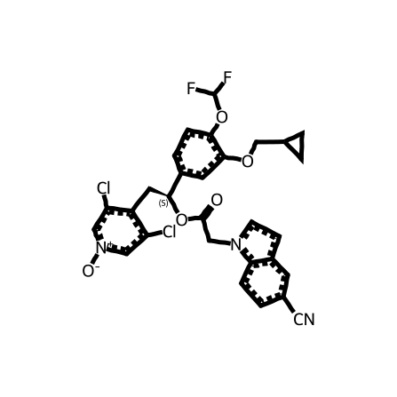 N#Cc1ccc2c(ccn2CC(=O)O[C@@H](Cc2c(Cl)c[n+]([O-])cc2Cl)c2ccc(OC(F)F)c(OCC3CC3)c2)c1